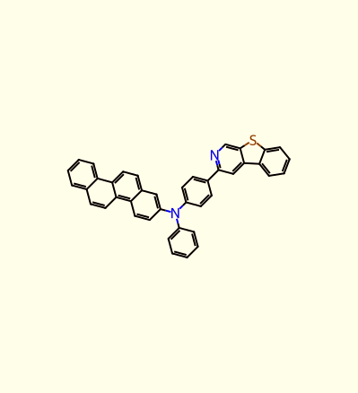 c1ccc(N(c2ccc(-c3cc4c(cn3)sc3ccccc34)cc2)c2ccc3c(ccc4c5ccccc5ccc34)c2)cc1